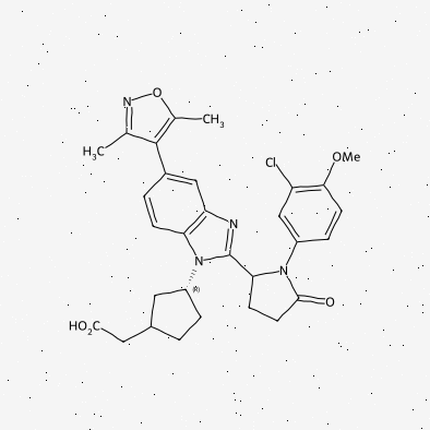 COc1ccc(N2C(=O)CCC2c2nc3cc(-c4c(C)noc4C)ccc3n2[C@@H]2CCC(CC(=O)O)C2)cc1Cl